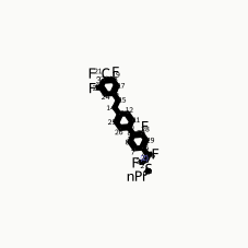 CCCS/C(F)=C(\F)c1ccc(-c2ccc(CCc3cc(F)c(C(F)(F)F)c(F)c3)cc2)c(F)c1